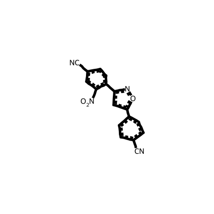 N#Cc1ccc(-c2cc(-c3ccc(C#N)cc3[N+](=O)[O-])no2)cc1